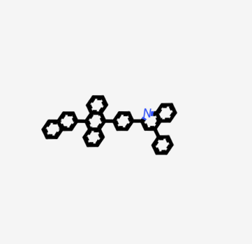 c1ccc(-c2cc(-c3ccc(-c4c5ccccc5c(-c5ccc6ccccc6c5)c5ccccc45)cc3)nc3ccccc23)cc1